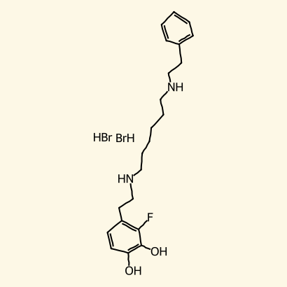 Br.Br.Oc1ccc(CCNCCCCCCNCCc2ccccc2)c(F)c1O